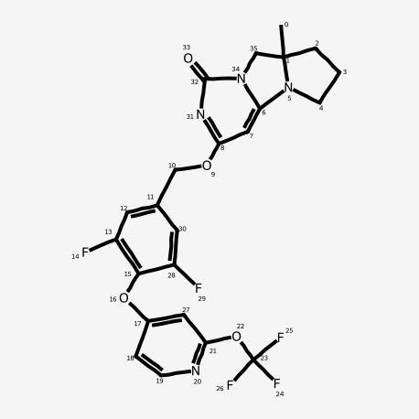 CC12CCCN1c1cc(OCc3cc(F)c(Oc4ccnc(OC(F)(F)F)c4)c(F)c3)nc(=O)n1C2